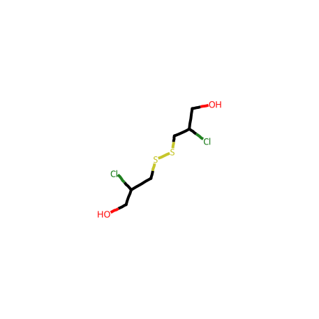 OCC(Cl)CSSCC(Cl)CO